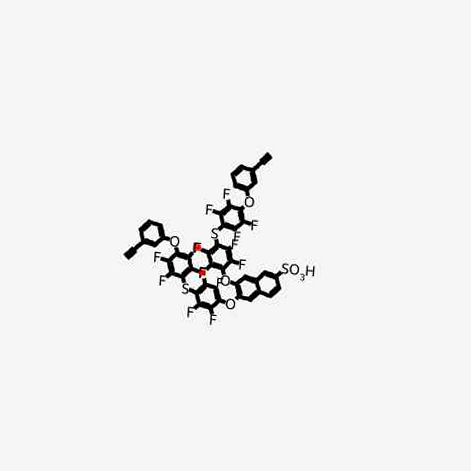 C#Cc1cccc(Oc2c(F)c(F)c(Sc3c(F)c(F)c(Oc4cc5ccc(S(=O)(=O)O)cc5cc4Oc4c(F)c(F)c(Sc5c(F)c(F)c(Oc6cccc(C#C)c6)c(F)c5F)c(F)c4F)c(F)c3F)c(F)c2F)c1